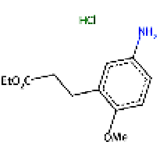 CCOC(=O)CCc1cc(N)ccc1OC.Cl